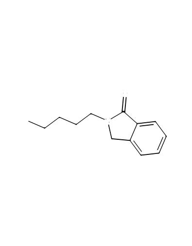 [CH2]CCCCN1Cc2ccccc2C1=O